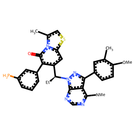 CC[C@@H](c1cc2scc(C)n2c(=O)c1-c1cccc(P)c1)n1nc(-c2ccc(OC)c(C)c2)c2c(NC)ncnc21